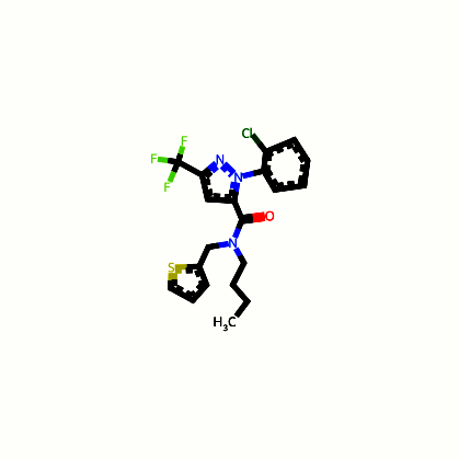 CCCCN(Cc1cccs1)C(=O)c1cc(C(F)(F)F)nn1-c1ccccc1Cl